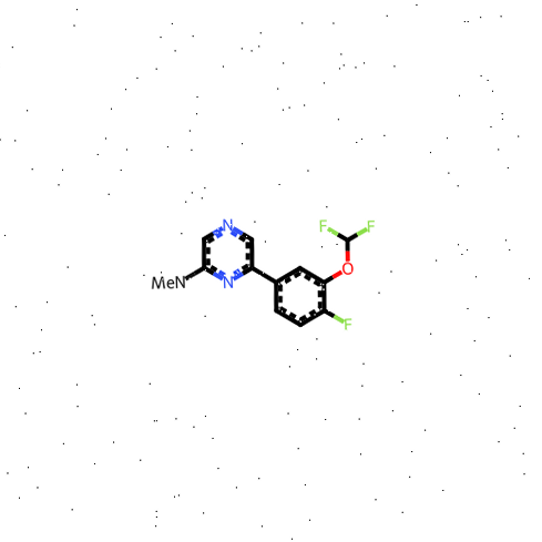 CNc1cncc(-c2ccc(F)c(OC(F)F)c2)n1